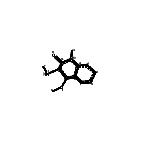 CNc1c(OC)c2ccccc2n(C)c1=O